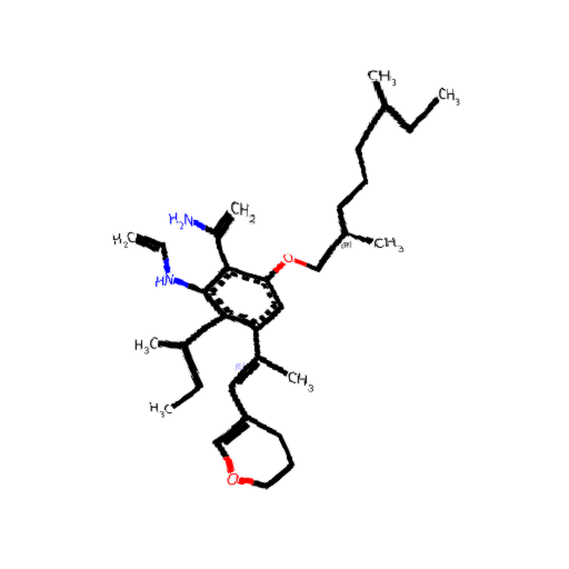 C=CNc1c(C(=C)N)c(OC[C@H](C)CCCC(C)CC)cc(/C(C)=C/C2=COCCC2)c1C(C)CC